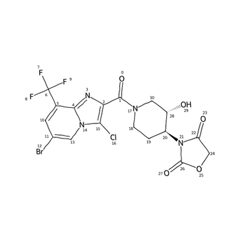 O=C(c1nc2c(C(F)(F)F)cc(Br)cn2c1Cl)N1CC[C@H](N2C(=O)COC2=O)[C@@H](O)C1